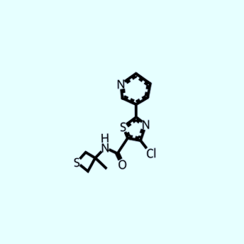 CC1(NC(=O)c2sc(-c3cccnc3)nc2Cl)CSC1